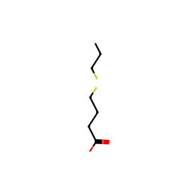 CCCSCCCC(=O)O